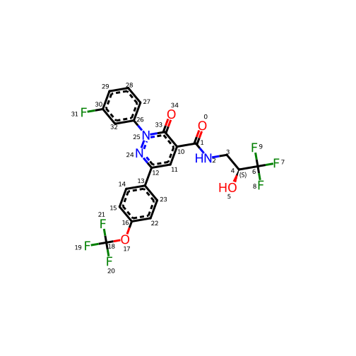 O=C(NC[C@H](O)C(F)(F)F)c1cc(-c2ccc(OC(F)(F)F)cc2)nn(-c2cccc(F)c2)c1=O